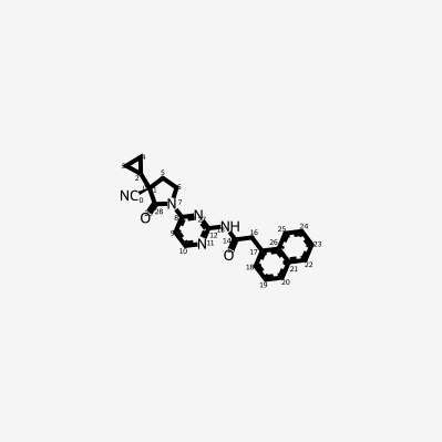 N#C[C@@]1(C2CC2)CCN(c2ccnc(NC(=O)Cc3cccc4ccccc34)n2)C1=O